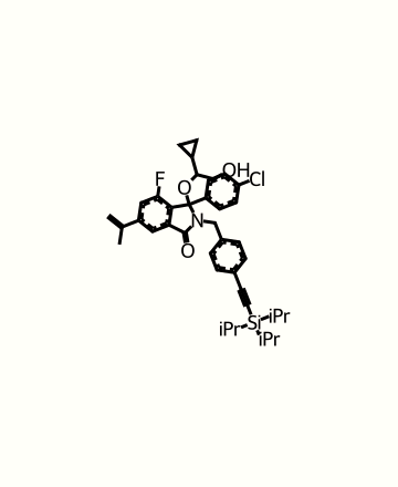 C=C(C)c1cc(F)c2c(c1)C(=O)N(Cc1ccc(C#C[Si](C(C)C)(C(C)C)C(C)C)cc1)C2(OC(CO)C1CC1)c1ccc(Cl)cc1